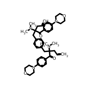 C=CCC(Cc1ccc(CC(CC=C)(C(=O)c2ccc(N3CCOCC3)cc2)N(C)C)cc1)(C(=O)c1ccc(N2CCOCC2)cc1)N(C)C